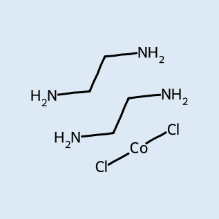 NCCN.NCCN.[Cl][Co][Cl]